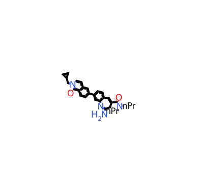 CCCN(CCC)C(=O)C1=Cc2ccc(-c3ccc4c(=O)n(CC5CC5)ccc4c3)cc2N=C(N)C1